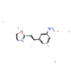 Nc1cccc(/C=C/c2ncco2)c1